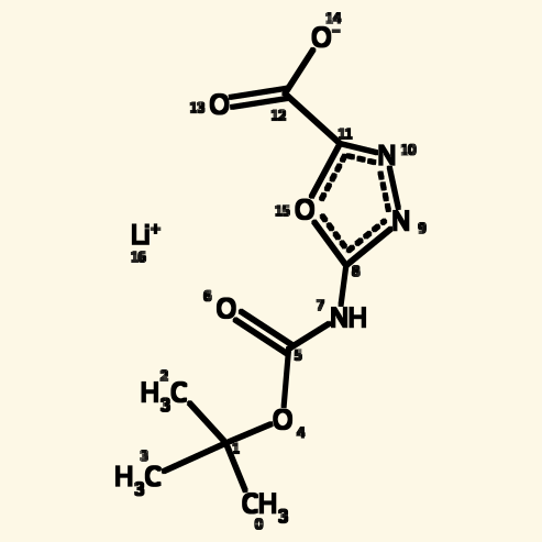 CC(C)(C)OC(=O)Nc1nnc(C(=O)[O-])o1.[Li+]